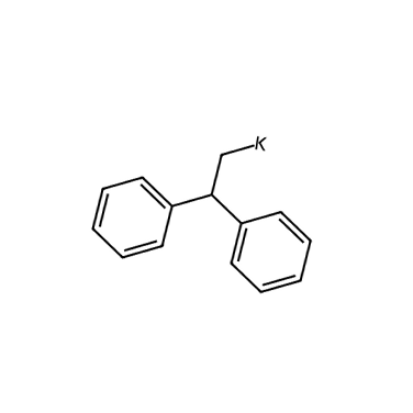 [K][CH2]C(c1ccccc1)c1ccccc1